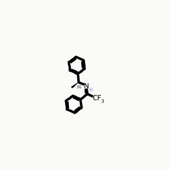 C[C@H](/N=C(\c1ccccc1)C(F)(F)F)c1ccccc1